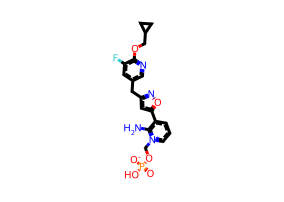 Nc1c(-c2cc(Cc3cnc(OCC4CC4)c(F)c3)no2)ccc[n+]1COP(=O)([O-])O